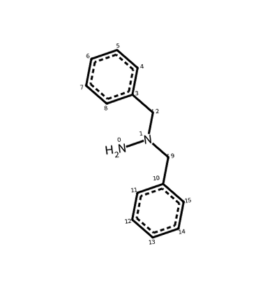 NN([CH]c1ccccc1)[CH]c1ccccc1